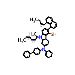 C=C(/C=C\C=C/C)N1C2=CC(N(C3=CCCC=C3)c3ccc(-c4ccccc4)cc3)=CCC2c2c1ccc(-c1cccc3cccc(/C=C\CC)c13)c2S